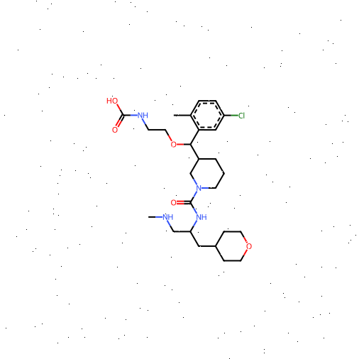 CNCC(CC1CCOCC1)NC(=O)N1CCCC(C(OCCNC(=O)O)c2cc(Cl)ccc2C)C1